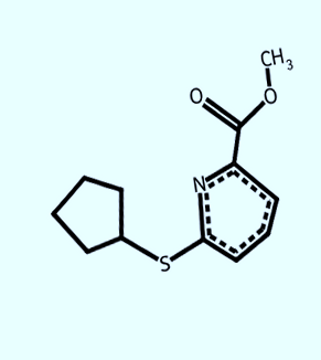 COC(=O)c1cccc(SC2CCCC2)n1